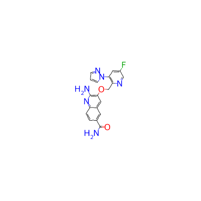 NC(=O)c1ccc2nc(N)c(OCc3ncc(F)cc3-n3cccn3)cc2c1